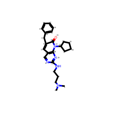 CN(C)CCCNc1ncc2cc(Cc3ccccc3)c(=O)n(C3CCCC3)c2n1